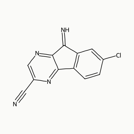 N#Cc1cnc2c(n1)-c1ccc(Cl)cc1C2=N